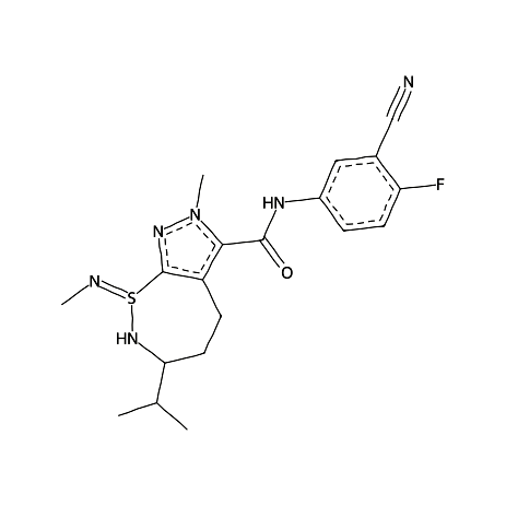 CN=S1NC(C(C)C)CCc2c1nn(C)c2C(=O)Nc1ccc(F)c(C#N)c1